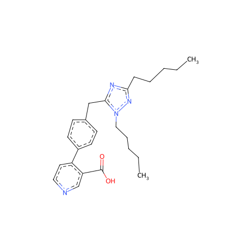 CCCCCc1nc(Cc2ccc(-c3ccncc3C(=O)O)cc2)n(CCCCC)n1